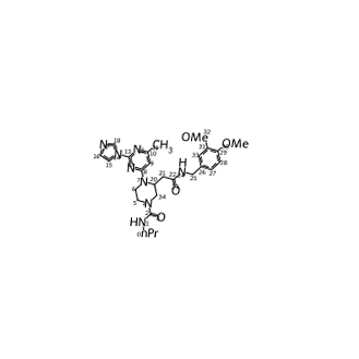 CCCNC(=O)N1CCN(c2cc(C)nc(-n3ccnc3)n2)C(CC(=O)NCc2ccc(OC)c(OC)c2)C1